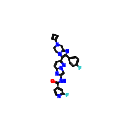 O=C(Nc1cn2nc(-c3c(-c4ccc(F)cc4)nc4n3CCN(C3=CC=C3)C4)ccc2n1)c1ccnc(F)c1